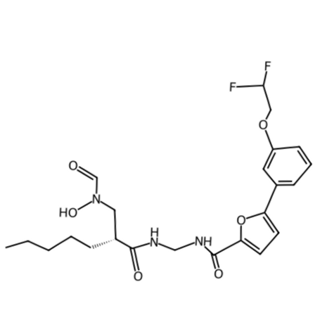 CCCCC[C@H](CN(O)C=O)C(=O)NCNC(=O)c1ccc(-c2cccc(OCC(F)F)c2)o1